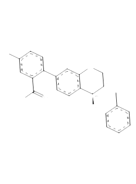 O=C(O)c1cc(F)ccc1-c1ccc2c(c1)OC[C@H](Cc1ccccc1)[C@H]2O